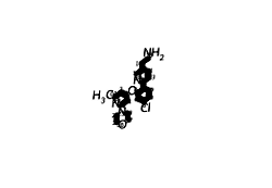 Cc1cc(Oc2cc(Cl)ccc2-c2ccc(CCN)cn2)cc(N2CCOCC2)n1